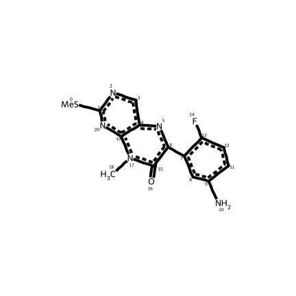 CSc1ncc2nc(-c3cc(N)ccc3F)c(=O)n(C)c2n1